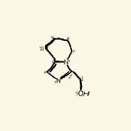 OCc1ncc2n1CCCC2